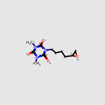 Cn1c(=O)n(C)c(=O)n(CCCCC2CO2)c1=O